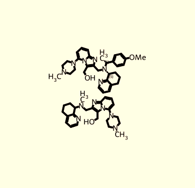 CN1CCN(c2cccc3nc(CN(C)C4CCCc5cccnc54)c(CO)n23)CC1.COc1ccc([C@H](C)N(Cc2nc3cccc(N4CCN(C)CC4)n3c2CO)[C@H]2CCCc3cccnc32)cc1